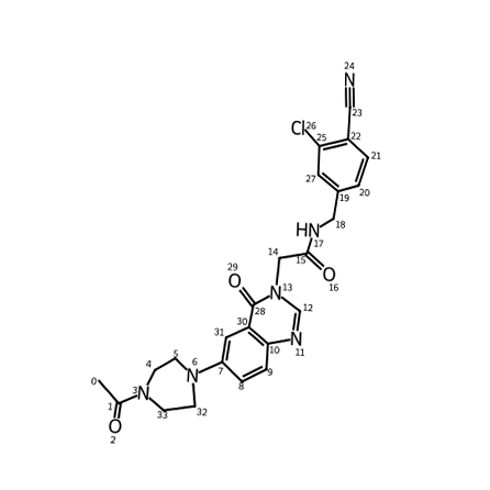 CC(=O)N1CCN(c2ccc3ncn(CC(=O)NCc4ccc(C#N)c(Cl)c4)c(=O)c3c2)CC1